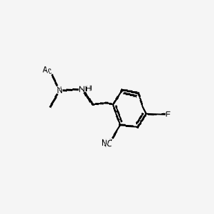 CC(=O)N(C)NCc1ccc(F)cc1C#N